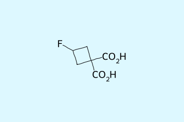 O=C(O)C1(C(=O)O)CC(F)C1